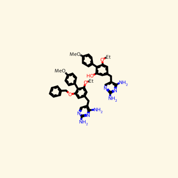 CCOc1cc(Cc2cnc(N)nc2N)cc(O)c1-c1ccc(OC)cc1.CCOc1cc(Cc2cnc(N)nc2N)cc(OCc2ccccc2)c1-c1ccc(OC)cc1